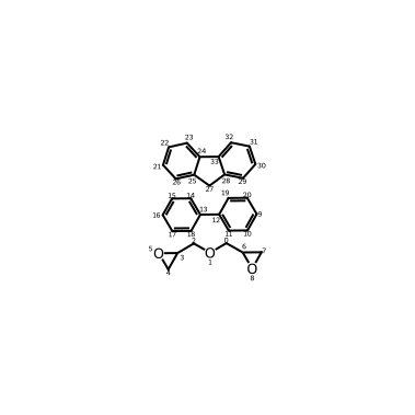 C(OCC1CO1)C1CO1.c1ccc(-c2ccccc2)cc1.c1ccc2c(c1)Cc1ccccc1-2